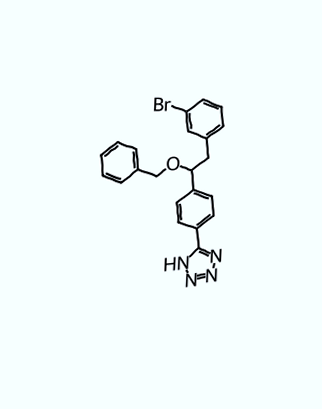 Brc1cccc(CC(OCc2ccccc2)c2ccc(-c3nnn[nH]3)cc2)c1